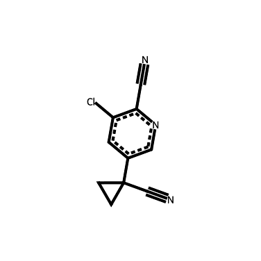 N#Cc1ncc(C2(C#N)CC2)cc1Cl